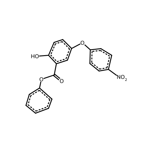 O=C(Oc1ccccc1)c1cc(Oc2ccc([N+](=O)[O-])cc2)ccc1O